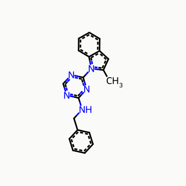 Cc1cc2ccccc2n1-c1ncnc(NCc2ccccc2)n1